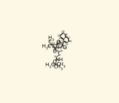 CC(C)(C)ONCCCC[C@@H](C(=O)Nc1cccc2ccccc12)N1C(=O)C2C(C1=O)C2(C)C